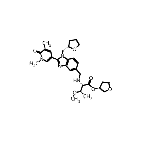 CO[C@H](C)[C@H](NCc1ccc2c(c1)nc(-c1cc(C)c(=O)n(C)c1)n2C[C@@H]1CCCO1)C(=O)O[C@H]1CCOC1